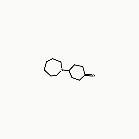 O=C1CCC(N2CCCCCC2)CC1